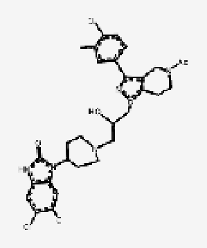 CC(=O)N1CCc2c(c(-c3ccc(Cl)c(C)c3)nn2CC(O)CN2CCC(n3c(=O)[nH]c4cc(Cl)c(Cl)cc43)CC2)C1